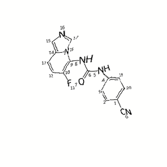 N#Cc1ccc(NC(=O)Nc2c(F)ccc3cncn23)cc1